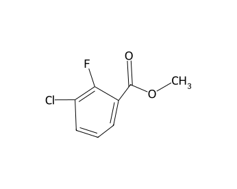 COC(=O)c1cccc(Cl)c1F